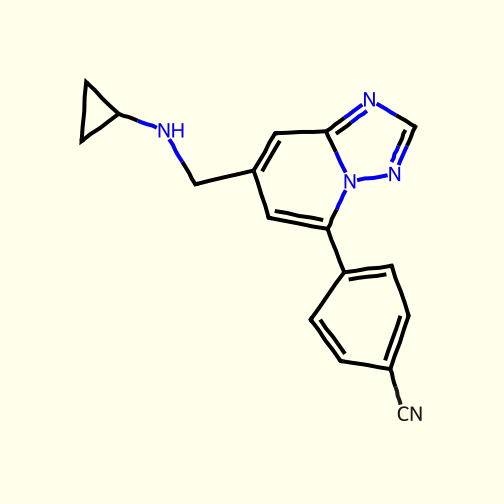 N#Cc1ccc(-c2cc(CNC3CC3)cc3ncnn23)cc1